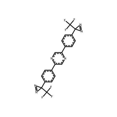 FC(F)(F)C1(c2ccc(-c3cnc(-c4ccc(C5(C(F)(F)F)N=N5)cc4)cn3)cc2)N=N1